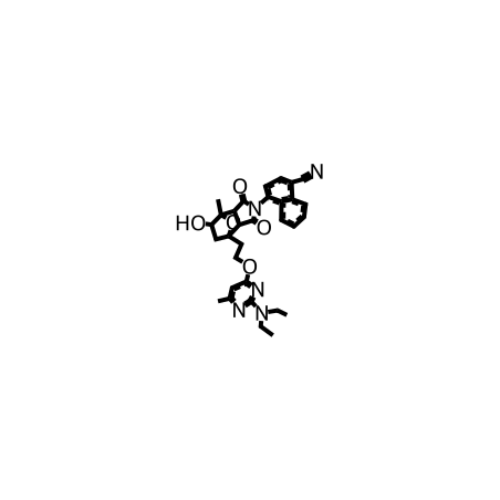 CCN(CC)c1nc(C)cc(OCCC23CC(O)C(C)(O2)C2C(=O)N(c4ccc(C#N)c5ccccc45)C(=O)C23)n1